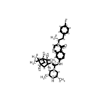 C[C@@H]1[C@@H](N=C(Nc2ccc3c(=O)n([C@H](C)Cc4ccc(F)cc4)cnc3c2)N2C[C@@H](C)N[C@@H](C)C2)C[C@H]2C[C@@H]1C2(C)C